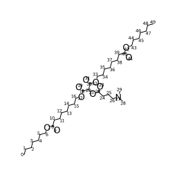 CCCCCCCOC(=O)CCCCCCCOC(=O)C(OC(=O)CCCN(C)C)C(=O)OCCCCCCCC(=O)OCCCCCCC